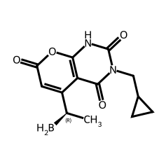 B[C@H](C)c1cc(=O)oc2[nH]c(=O)n(CC3CC3)c(=O)c12